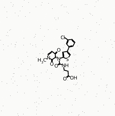 CN1C=CC(=O)[C@H](N(C(=O)NCCC(=O)O)c2cc(-c3cccc(Cl)c3)cs2)C1=O